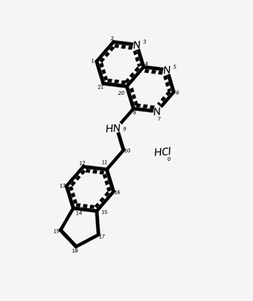 Cl.c1cnc2ncnc(NCc3ccc4c(c3)CCC4)c2c1